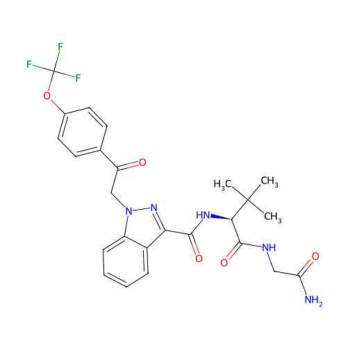 CC(C)(C)[C@H](NC(=O)c1nn(CC(=O)c2ccc(OC(F)(F)F)cc2)c2ccccc12)C(=O)NCC(N)=O